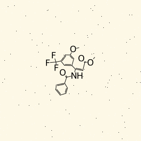 COC(=O)C=C(NC(=O)c1ccccc1)c1cc(OC)cc(C(F)(F)F)c1